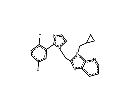 Fc1ccc(F)c(-c2nccn2Cc2nc3cccnc3n2CC2CC2)c1